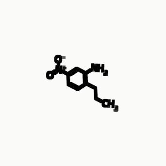 CCCc1ccc([N+](=O)[O-])cc1N